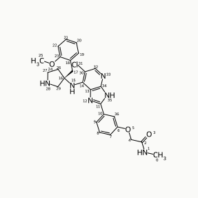 CNC(=O)COc1cccc(-c2nc3c(N[C@@]4(Cc5ccccc5OC)CCNC4)c(Cl)cnc3[nH]2)c1